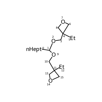 CCCCCCCC(OCC1(CC)COC1)OCC1(CC)COC1